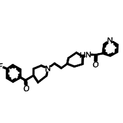 O=C(NC1CCC(CCN2CCC(C(=O)c3ccc(F)cc3)CC2)CC1)c1cccnc1